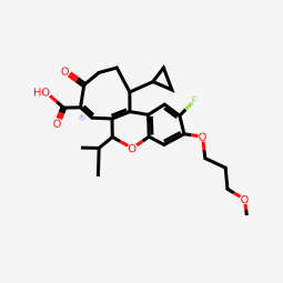 COCCCOc1cc2c(cc1F)C1=C(/C=C(/C(=O)O)C(=O)CCC1C1CC1)C(C(C)C)O2